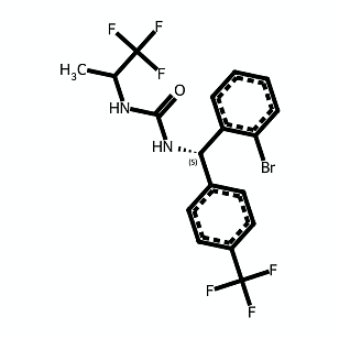 CC(NC(=O)N[C@@H](c1ccc(C(F)(F)F)cc1)c1ccccc1Br)C(F)(F)F